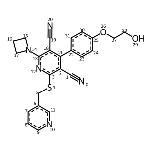 N#Cc1c(SCc2cccnc2)nc(N2CCC2)c(C#N)c1-c1ccc(OCCO)cc1